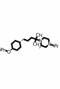 CC(C)O[C@H]1CC[C@H](CCCC(C)(C)N2CCN(C(C)C)CC2)CC1